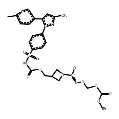 Cc1ccc(-c2cc(C(F)(F)F)nn2-c2ccc(S(=O)(=O)NC(=O)OCC3CN([N+]([O-])=NOCOC(=O)OC(C)C)C3)cc2)cc1